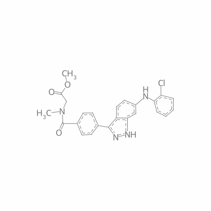 COC(=O)CN(C)C(=O)c1ccc(-c2n[nH]c3cc(Nc4ccccc4Cl)ccc23)cc1